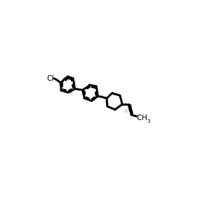 C/C=C/C1CCC(c2ccc(-c3ccc(Cl)cc3)cc2)CC1